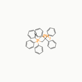 PCP(CC(c1ccccc1)(c1ccccc1)c1ccccc1)(c1ccccc1)(c1ccccc1)c1ccccc1